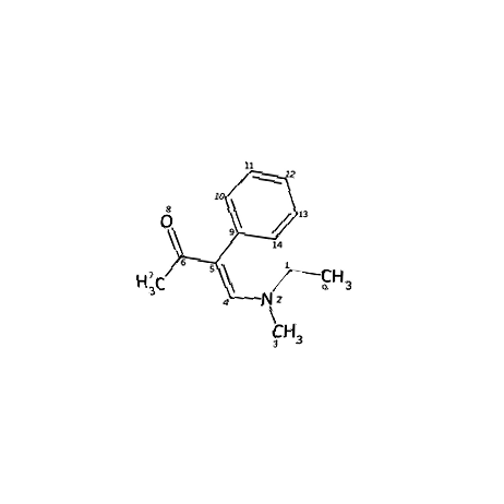 CCN(C)/C=C(/C(C)=O)c1ccccc1